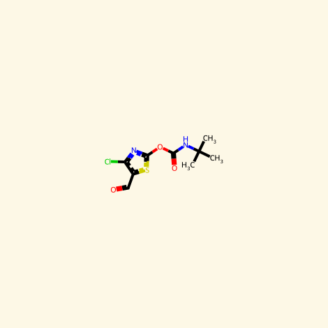 CC(C)(C)NC(=O)Oc1nc(Cl)c(C=O)s1